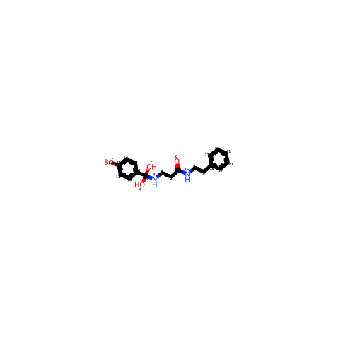 O=C(CCNC(O)(O)c1ccc(Br)cc1)NCCc1ccccc1